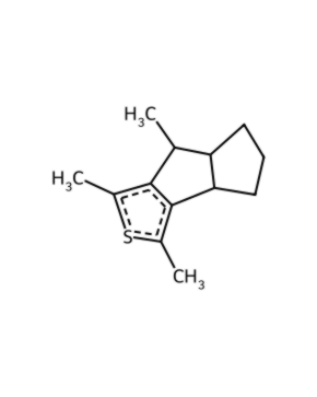 Cc1sc(C)c2c1C(C)C1CCCC21